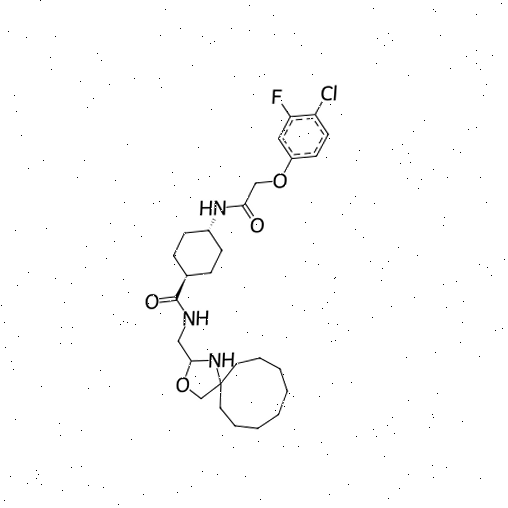 O=C(COc1ccc(Cl)c(F)c1)N[C@H]1CC[C@H](C(=O)NCC2NC3(CCCCCCCC3)CO2)CC1